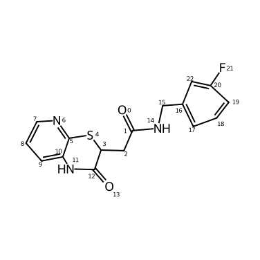 O=C(CC1Sc2ncccc2NC1=O)NCc1cccc(F)c1